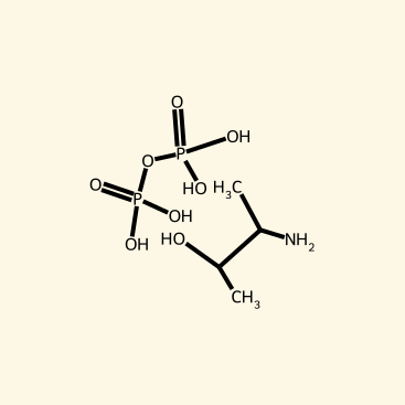 CC(N)C(C)O.O=P(O)(O)OP(=O)(O)O